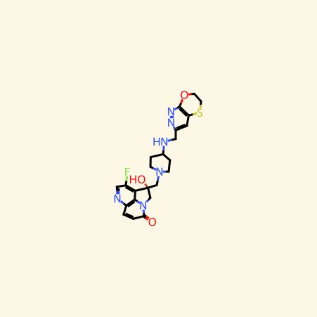 O=c1ccc2ncc(F)c3c2n1C[C@@]3(O)CN1CCC(NCc2cc3c(nn2)OCCS3)CC1